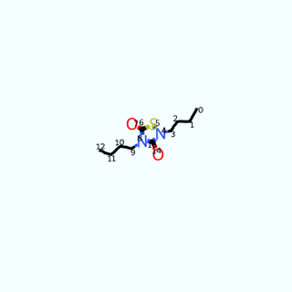 CCCCn1sc(=O)n(CCCC)c1=O